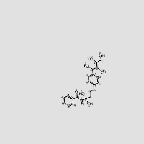 O=C(NC(O)(O)CCCc1cnc(C(O)C(O)C(O)CO)cn1)c1ccccc1